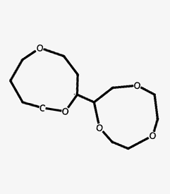 C1CCO[C](C2COCCOCCO2)CCOC1